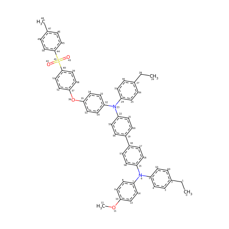 CCc1ccc(N(c2ccc(OC)cc2)c2ccc(-c3ccc(N(c4ccc(CC)cc4)c4ccc(Oc5ccc(S(=O)(=O)c6ccc(C)cc6)cc5)cc4)cc3)cc2)cc1